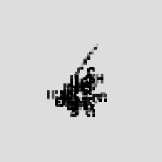 CCCCCCCCCCCCCCCCCN(C[C@H]1O[C@@H](n2ccc(=O)[nH]c2=O)[C@H](OC)[C@@H]1O)C(=O)NC[C@H]1[C@@H](OC)[C@H](n2ccc(=O)[nH]c2=O)O[C@@H]1COC(c1ccccc1)(c1ccc(OC)cc1)c1ccc(OC)cc1